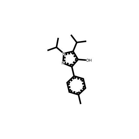 Cc1ccc(-c2nn(C(C)C)c(C(C)C)c2O)cc1